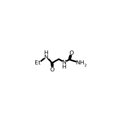 CCNC(=O)CNC(N)=O